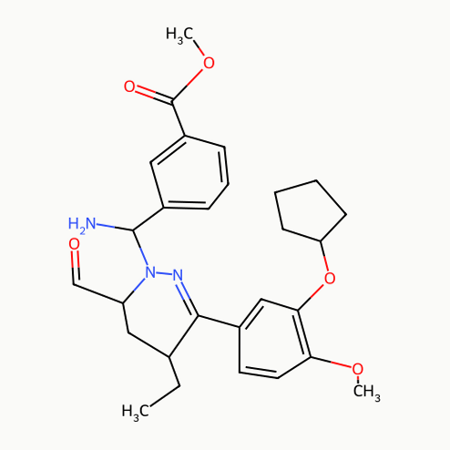 CCC1CC(C=O)N(C(N)c2cccc(C(=O)OC)c2)N=C1c1ccc(OC)c(OC2CCCC2)c1